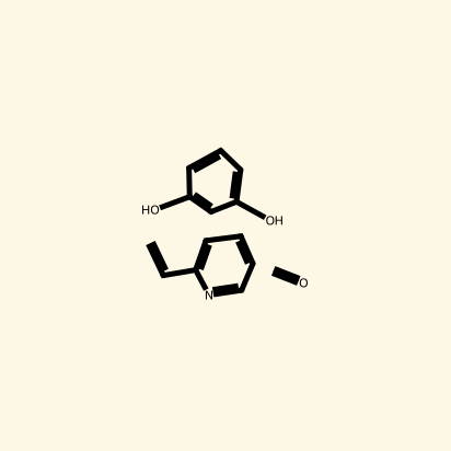 C=Cc1ccccn1.C=O.Oc1cccc(O)c1